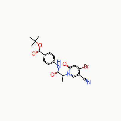 CC(C(=O)Nc1ccc(C(=O)OC(C)(C)C)cc1)n1cc(C#N)c(Br)cc1=O